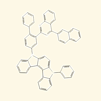 c1ccc(-c2ccc(-n3c4ccccc4c4c5c6ccccc6n(-c6ccccc6)c5ccc43)cc2-c2nc(-c3ccc4ccccc4c3)c3ccccc3n2)cc1